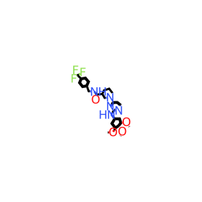 COc1cc(Nc2nccc(N3CCCC(C(=O)NCc4ccc(C(F)(F)F)cc4)C3)n2)cc(OC)c1OC